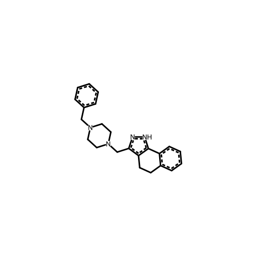 c1ccc(CN2CCN(Cc3n[nH]c4c3CCc3ccccc3-4)CC2)cc1